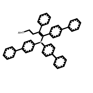 COCC/C(=C(\B(c1ccc(-c2ccccc2)cc1)c1ccc(-c2ccccc2)cc1)c1ccc(-c2ccccc2)cc1)c1ccccc1